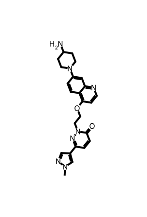 Cn1cc(-c2ccc(=O)n(CCOc3ccnc4cc(N5CCC(N)CC5)ccc34)n2)cn1